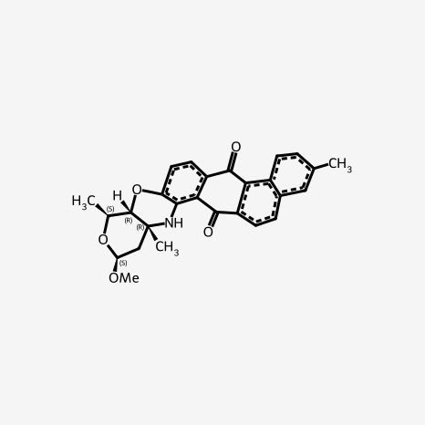 CO[C@@H]1C[C@@]2(C)Nc3c(ccc4c3C(=O)c3ccc5cc(C)ccc5c3C4=O)O[C@H]2[C@H](C)O1